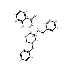 CC(=O)N(OC[C@H]1CCN(Cc2ccccc2)C[C@H]1OCc1ccccc1)c1ccccc1F